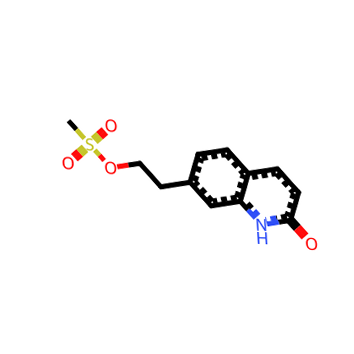 CS(=O)(=O)OCCc1ccc2ccc(=O)[nH]c2c1